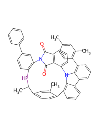 Cc1ccc(-c2cccc3c4cccc5c4n(c23)-c2cccc3c2C(=O)N(C3=O)c2cc(-c3ccccc3)ccc2PC(C)c2ccc-5c(C)c2)c(C)c1